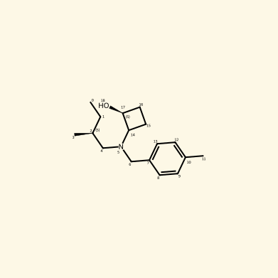 CC[C@H](C)CN(Cc1ccc(C)cc1)C1CC[C@@H]1O